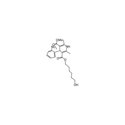 COC(=O)C1=C(C)NC(C)=C(C(=O)OCCCCCCO)C1c1ccccc1[N+](=O)[O-]